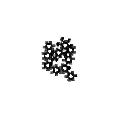 Fc1c(F)c(F)c(-c2cc(-n3c4ccccc4c4ccc(-c5cccc(-c6ccccc6)n5)cc43)c(C(F)(F)F)cc2-n2c3ccccc3c3ccc(-c4cccc(-c5ccccc5)n4)cc32)c(F)c1F